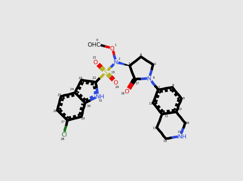 O=CON([C@H]1CCN(c2ccc3c(c2)CCNC3)C1=O)S(=O)(=O)c1cc2ccc(Cl)cc2[nH]1